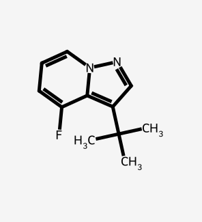 CC(C)(C)c1cnn2cccc(F)c12